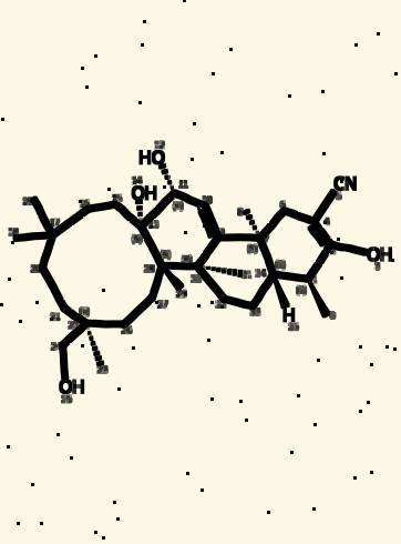 C[C@@H]1C(O)=C(C#N)C[C@]2(C)C3=C[C@@H](O)[C@]4(O)CCC(C)(C)CC[C@](C)(CO)CC[C@@]4(C)[C@]3(C)CC[C@@H]12